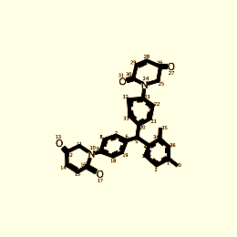 Cc1ccc(C(c2ccc(N3CC(=O)C=CC3=O)cc2)c2ccc(N3CC(=O)C=CC3=O)cc2)c(C)c1